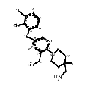 CC1(CN)CCN(c2ncc(Sc3ccnc(I)c3Cl)nc2CO)CC1